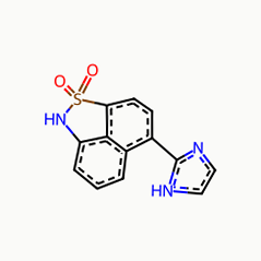 O=S1(=O)Nc2cccc3c(-c4ncc[nH]4)ccc1c23